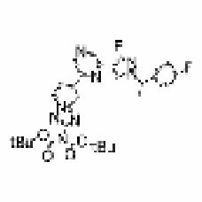 CC(c1ccc(F)cc1)n1cc(-c2cncc(-c3ccn4nc(N(C(=O)OC(C)(C)C)C(=O)OC(C)(C)C)nc4c3)n2)c(F)n1